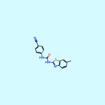 Cc1ccc2nc(NC(=O)Nc3ccc(C#N)cc3)sc2c1